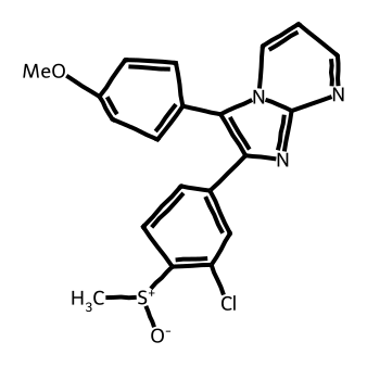 COc1ccc(-c2c(-c3ccc([S+](C)[O-])c(Cl)c3)nc3ncccn23)cc1